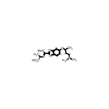 CS/C(=N\[C@H](C)C(=O)O)c1nc2ccc(OC(C)CCN(C)C)cc2s1